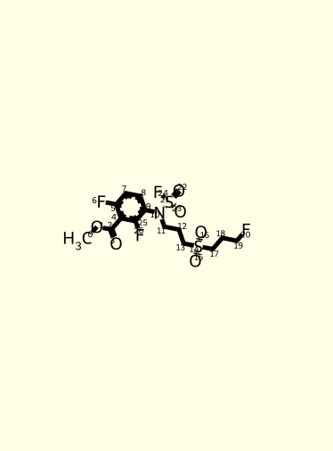 COC(=O)c1c(F)ccc(N(CCCS(=O)(=O)CCCF)S(=O)(=O)F)c1F